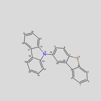 c1ccc2c(c1)sc1ccc(-n3c4ccccc4c4ccccc43)cc12